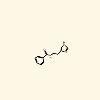 O=C(NCCc1c[nH]cn1)c1ccccc1